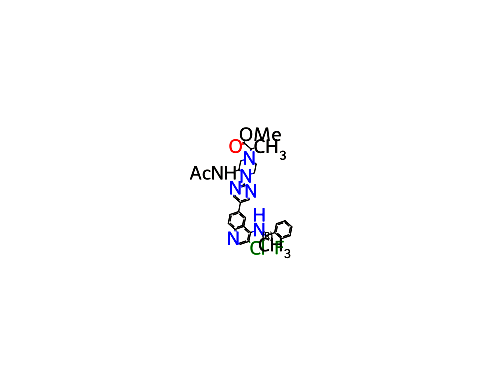 COC(=O)C(C)N1CCN(c2ncc(-c3ccc4ncc(Cl)c(N[C@H](C)c5ccccc5F)c4c3)cn2)C(NC(C)=O)C1